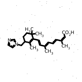 CC(C=CC1=C(C)C(Cn2ccnc2)CCC1(C)C)=CC=C/C(C)=C\C(=O)O